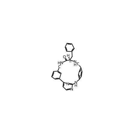 O=C1NCc2cccc(c2)-c2ccnc(n2)Nc2ccc(cc2)CN[C@H]1Cc1ccccc1